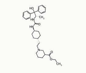 CCOC(=O)C1CCCN(CC[C@H]2CC[C@H](NC(=O)N[C@@H](C)C(O)(c3ccccc3)c3ccccc3)CC2)C1